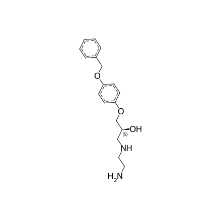 NCCNC[C@H](O)COc1ccc(OCc2ccccc2)cc1